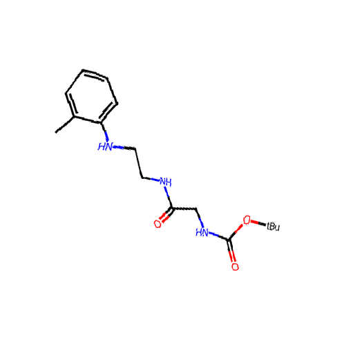 Cc1ccccc1NCCNC(=O)CNC(=O)OC(C)(C)C